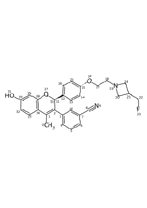 CC1=C(c2cccc(C#N)c2)[C@H](c2ccc(OCCN3CC(CF)C3)cc2)Oc2cc(O)ccc21